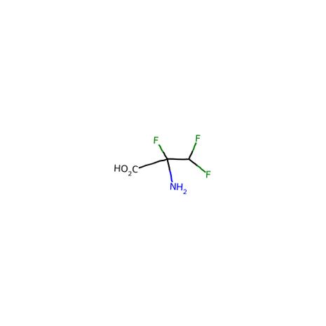 NC(F)(C(=O)O)C(F)F